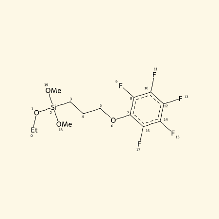 CCO[Si](CCCOc1c(F)c(F)c(F)c(F)c1F)(OC)OC